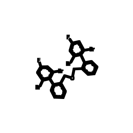 Fc1cc(Br)c(-c2ccccc2COCc2ccccc2-c2c(Br)cc(F)cc2Br)c(Br)c1